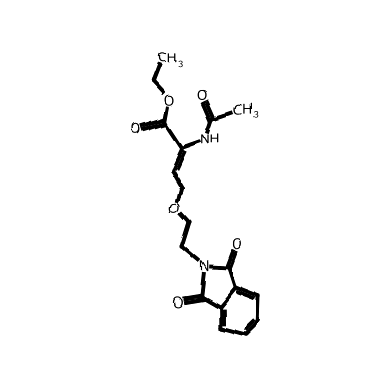 CCOC(=O)C(=CCOCCN1C(=O)c2ccccc2C1=O)NC(C)=O